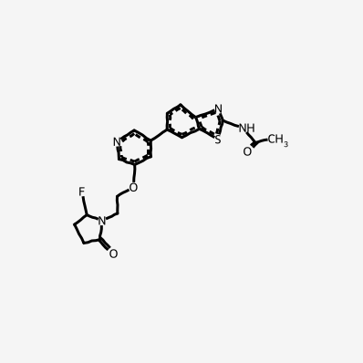 CC(=O)Nc1nc2ccc(-c3cncc(OCCN4C(=O)CCC4F)c3)cc2s1